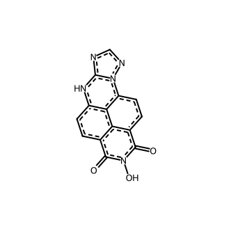 O=c1c2ccc3[nH]c4ncnn4c4ccc(c(=O)n1O)c2c34